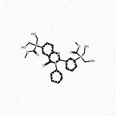 COC(=O)[N+](CO)(CO)c1cccc(-c2nc3ccc([N+](CO)(CO)C(=O)OC)cc3c(=O)n2-c2ccccc2)c1